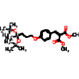 COC(=O)C(=Cc1ccc(OCCC[Si](C)(O[Si](C)(C)C)O[Si](C)(C)C)cc1)C(=O)OC